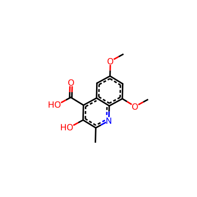 COc1cc(OC)c2nc(C)c(O)c(C(=O)O)c2c1